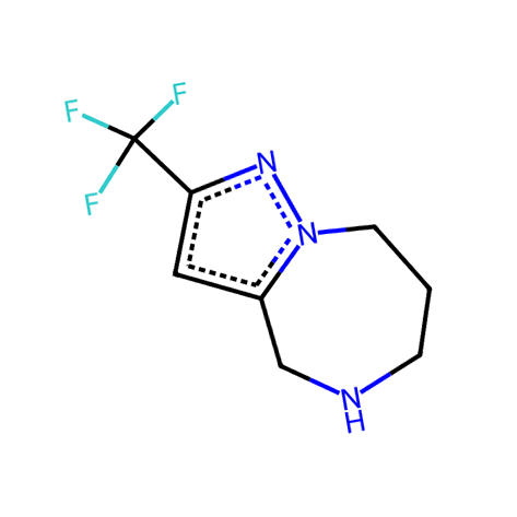 FC(F)(F)c1cc2n(n1)CCCNC2